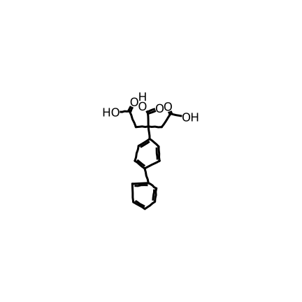 O=C(O)CC(CC(=O)O)(C(=O)O)c1ccc(-c2ccccc2)cc1